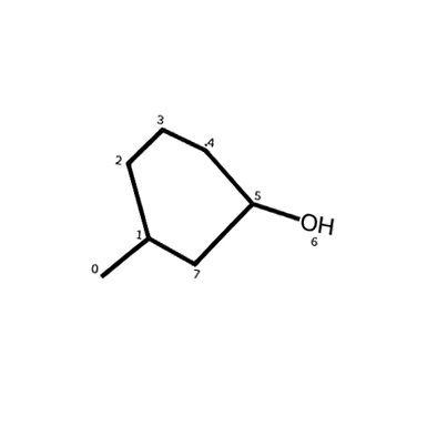 CC1CC[CH]C(O)C1